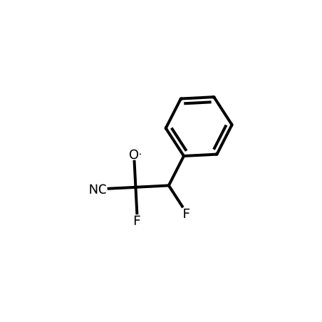 N#CC([O])(F)C(F)c1ccccc1